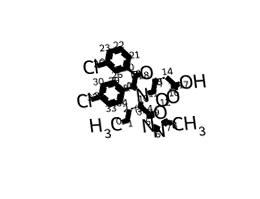 CCC[C@@H](c1nnc(C)o1)N1C(=O)[C@@H](CC(=O)O)O[C@H](c2cccc(Cl)c2)[C@@H]1c1ccc(Cl)cc1